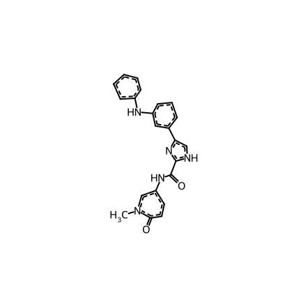 Cn1cc(NC(=O)c2nc(-c3cccc(Nc4ccccc4)c3)c[nH]2)ccc1=O